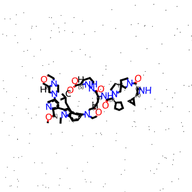 CCn1c(-c2cc(N3CCN4CCOC[C@@H]4C3)cnc2[C@H](C)OC)c2c3cc(ccc31)N1CCO[C@@H](C[C@H](NC(=O)[C@H](C3CCCC3)N3CC[C@]4(CCN(C(=O)[C@@H]5N[C@@H]5C5CC5)C4)C3)C(=O)N3CCC[C@H](N3)C(=O)OCC(C)(C)C2)C1